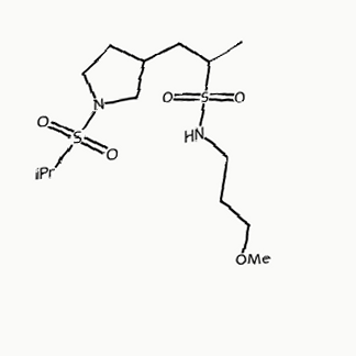 COCCCNS(=O)(=O)C(C)CC1CCN(S(=O)(=O)C(C)C)C1